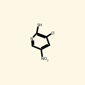 O=[N+]([O-])c1cnc(S)c(Cl)c1